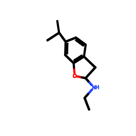 CCNC1Cc2ccc(C(C)C)cc2O1